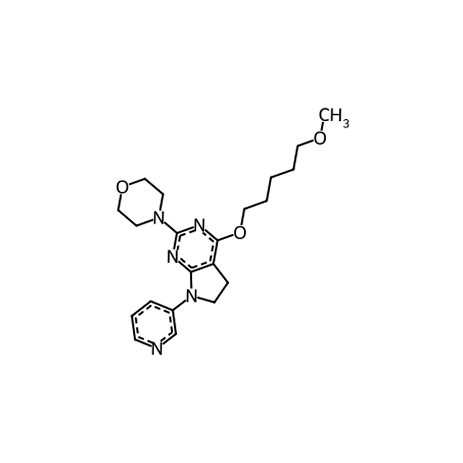 COCCCCCOc1nc(N2CCOCC2)nc2c1CCN2c1cccnc1